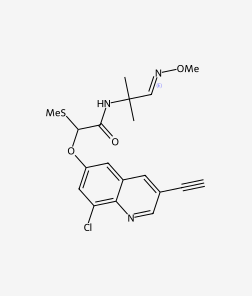 C#Cc1cnc2c(Cl)cc(OC(SC)C(=O)NC(C)(C)/C=N/OC)cc2c1